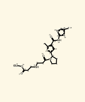 Cc1sc(C2CCCN2C(=O)CCNCCC(=O)OC(C)(C)C)cc1C(=O)Nc1ncc(F)s1